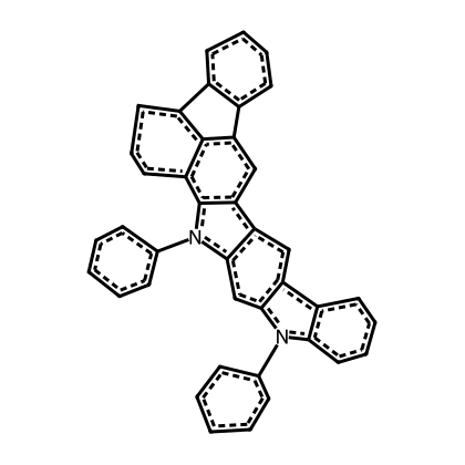 c1ccc(-n2c3ccccc3c3cc4c5cc6c7c(cccc7c5n(-c5ccccc5)c4cc32)-c2ccccc2-6)cc1